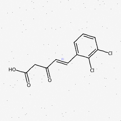 O=C(O)CC(=O)/C=C/c1cccc(Cl)c1Cl